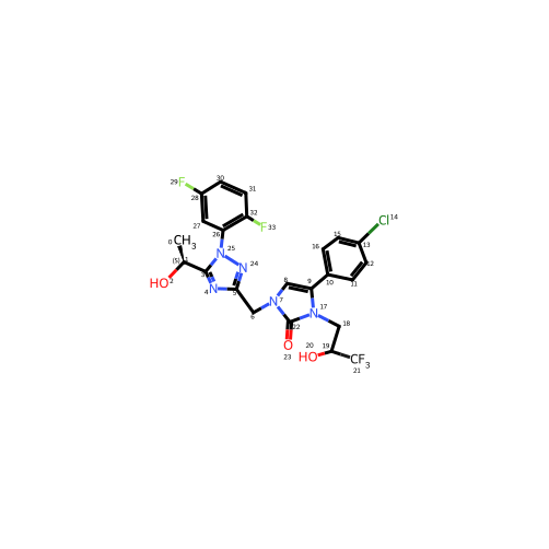 C[C@H](O)c1nc(Cn2cc(-c3ccc(Cl)cc3)n(CC(O)C(F)(F)F)c2=O)nn1-c1cc(F)ccc1F